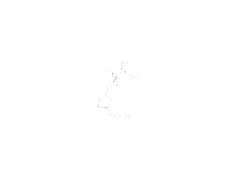 CCN(/[N+]([O-])=N/OC1CC[C@H](C(=O)O)C1)C(C)(C)C